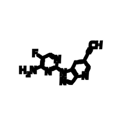 C#Cc1cnc2cnn(-c3ncc(F)c(N)n3)c2c1